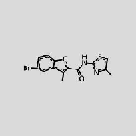 Cc1csc(NC(=O)c2oc3ccc(Br)cc3c2C)n1